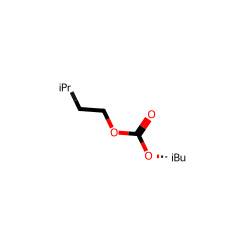 CC[C@@H](C)OC(=O)OCCC(C)C